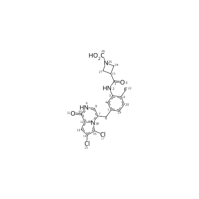 O=C(Nc1cc(Cc2c[nH]c(=O)c3cc(Cl)c(Cl)n23)ccc1F)C1CN(C(=O)O)C1